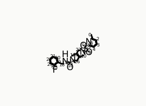 Cc1cccc(S(=O)(=O)N2CC3=C(CN(C(=O)NCc4ccccc4F)C3)C2)n1